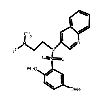 COc1ccc(OC)c(S(=O)(=O)N(CCN(C)C)c2cnc3ccccc3c2)c1